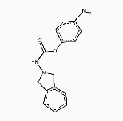 O=C(NN1Cc2ccccc2C1)Oc1ccc([N+](=O)[O-])cc1